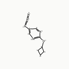 [N-]=[N+]=Nc1cnc(OC2CCC2)nc1